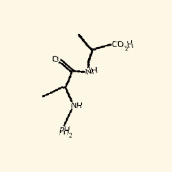 CC(NC(=O)C(C)NP)C(=O)O